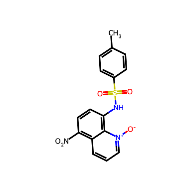 Cc1ccc(S(=O)(=O)Nc2ccc([N+](=O)[O-])c3ccc[n+]([O-])c23)cc1